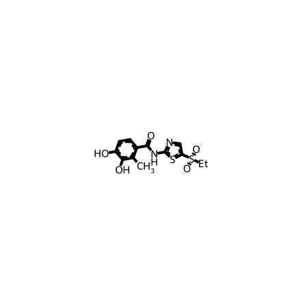 CCS(=O)(=O)c1cnc(NC(=O)c2ccc(O)c(O)c2C)s1